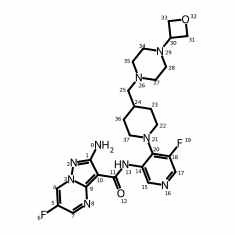 Nc1nn2cc(F)cnc2c1C(=O)Nc1cncc(F)c1N1CCC(CN2CCN(C3COC3)CC2)CC1